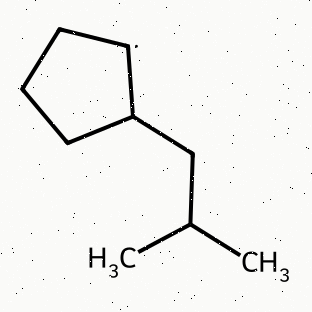 CC(C)CC1[CH]CCC1